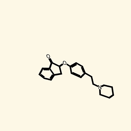 O=C1c2ccccc2CC1Oc1ccc(CCN2CCCCC2)cc1